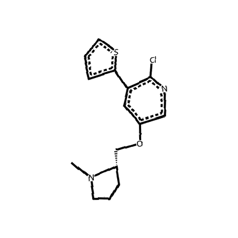 CN1CCC[C@H]1COc1cnc(Cl)c(-c2cccs2)c1